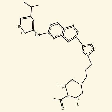 CC(=O)N1[C@H](C)CN(CCCn2cc(-c3cnc4ccc(NC5=CC(C(C)C)=CNN5)nc4c3)cn2)C[C@@H]1C